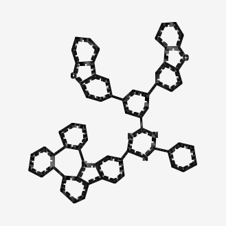 c1ccc(-c2nc(-c3cc(-c4ccc5oc6ccccc6c5c4)cc(-c4ccc5oc6ccccc6c5c4)c3)nc(-c3ccc4c5cccc6c5n(c4c3)-c3ccccc3-c3ccccc3-6)n2)cc1